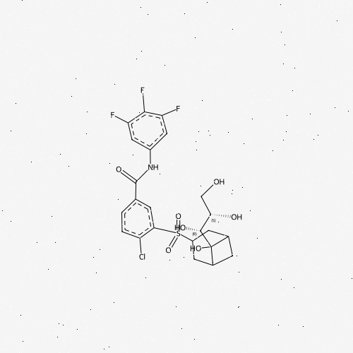 O=C(Nc1cc(F)c(F)c(F)c1)c1ccc(Cl)c(S(=O)(=O)C2CC3CC(C2)C3(O)[C@H](O)[C@@H](O)CO)c1